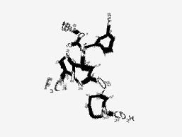 CC(C)(C)OC(=O)N(c1cccc(F)c1)c1cc(O[C@H]2CCCN(C(=O)O)C2)nn2c(C(F)(F)F)cnc12